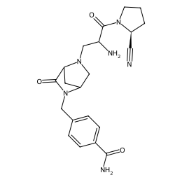 N#C[C@@H]1CCCN1C(=O)C(N)CN1CC2CC1C(=O)N2Cc1ccc(C(N)=O)cc1